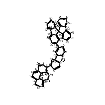 C1=CC2Oc3ccc(-c4ccc5ccc6cccc7ccc4c5c67)cc3C2C=C1c1ccc2c(c1)C1(c3ccccc3-c3ccccc31)c1ccccc1-2